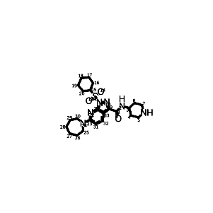 O=C(NC1CCNCC1)c1nn(S(=O)(=O)C2CCCCC2)c2nc(N3CCCCCC3)ccc12